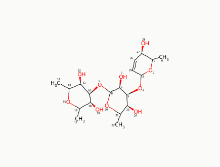 CC1OC(O[C@@H]2[C@H](O)C(O[C@@H]3[C@H](O)C(C)OC(C)[C@@H]3O)OC(C)[C@@H]2O)C=C[C@H]1O